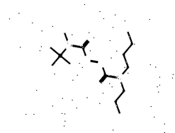 CCCCN(CCC)C(=S)SSC(=S)N(C)C(C)(C)C